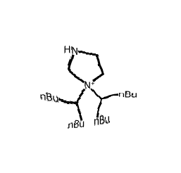 CCCCC(CCCC)[N+]1(C(CCCC)CCCC)CCNC1